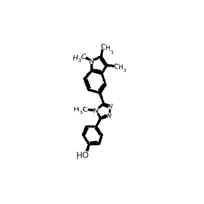 Cc1c(C)n(C)c2ccc(-c3nnc(-c4ccc(O)cc4)n3C)cc12